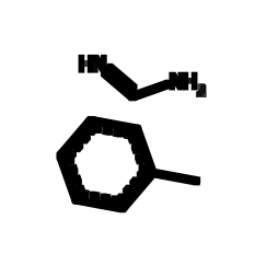 Cc1ccccc1.N=CN